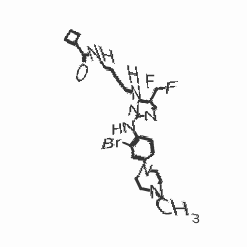 CN1CCN(c2ccc(Nc3ncc(C(F)F)c(NCCCNC(=O)C4CCC4)n3)c(Br)c2)CC1